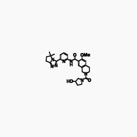 COc1cc2c(cc1C(=O)Nc1cccc(-c3nnc4n3C(C)(C)CC4)n1)CN(C(=O)N1CC[C@@H](O)C1)CC2